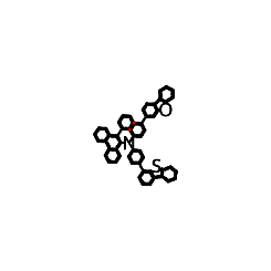 c1ccc(-c2c(N(c3ccc(-c4ccc5c(c4)oc4ccccc45)cc3)c3ccc(-c4cccc5c4sc4ccccc45)cc3)c3ccccc3c3ccccc23)cc1